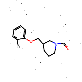 Cc1ccccc1OCC1CCCN(C=O)C1